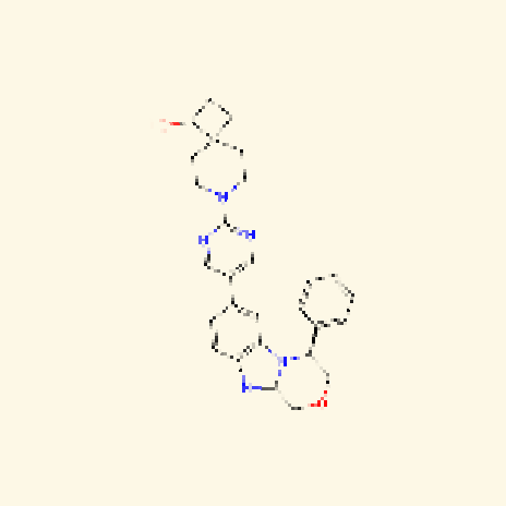 OC1CCC12CCN(c1ncc(-c3ccc4nc5n(c4c3)[C@@H](c3ccccc3)COC5)cn1)CC2